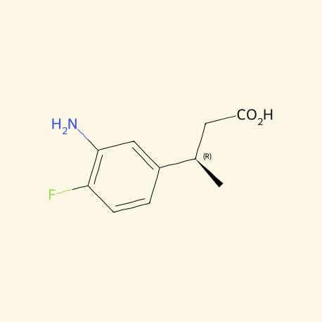 C[C@H](CC(=O)O)c1ccc(F)c(N)c1